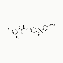 CCc1cc(NC(=O)NCCN2CCC(N(CC)S(=O)(=O)c3ccc(OC)cc3)CC2)cc(C)n1